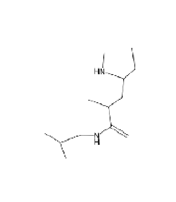 C=C(NCC(C)C)C(C)CC(CC)NC